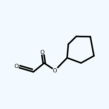 O=CC(=O)OC1CCCCC1